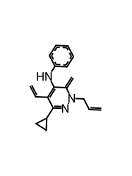 C=CCN1N=C(C2CC2)C(C=C)=C(Nc2ccccc2)C1=C